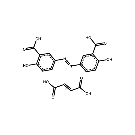 O=C(O)/C=C/C(=O)O.O=C(O)c1cc(N=Nc2ccc(O)c(C(=O)O)c2)ccc1O